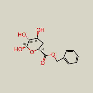 O=C(OCc1ccccc1)[C@@H]1C[C@H](O)[C@@H](O)[C@H](O)O1